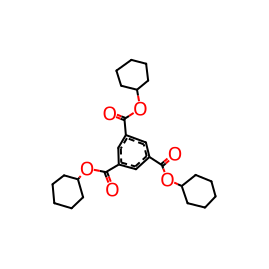 O=C(OC1CCCCC1)c1cc(C(=O)OC2CCCCC2)cc(C(=O)OC2CCCCC2)c1